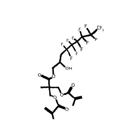 C=C(C)C(=O)OCC(C)(COC(=O)C(=C)C)C(=O)OCC(O)CC(F)(F)C(F)(F)C(F)(F)C(F)(F)C(F)(F)C(F)(F)F